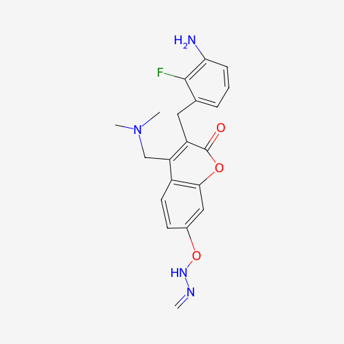 C=NNOc1ccc2c(CN(C)C)c(Cc3cccc(N)c3F)c(=O)oc2c1